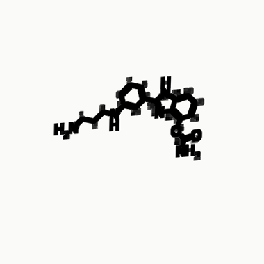 NCCCNc1cccc(-c2nc3c(OC(N)=O)cccc3[nH]2)c1